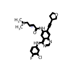 CN(C)C/C=C/C(=O)Nc1cc2c(Nc3ccc(F)c(Cl)c3)ncnc2cc1C#CC1CCOC1